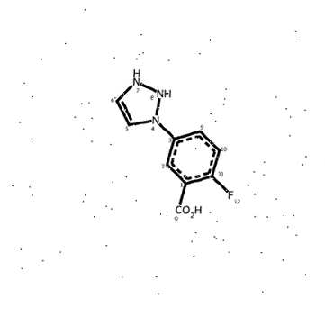 O=C(O)c1cc(N2C=CNN2)ccc1F